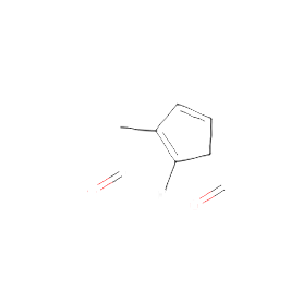 CC1=[C]([Ir])CC=C1.[C]=O.[C]=O